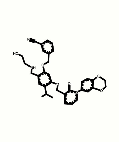 CC(C)c1cc(CNCCO)c(OCc2cccc(C#N)c2)cc1OCc1cccn(-c2ccc3c(c2)OCCO3)c1=O